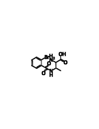 CC(NS(=O)(=O)c1ccccc1Br)C(N)C(=O)O